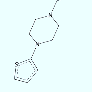 CCN1CCN(c2cccs2)CC1